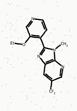 CCOc1cnccc1-c1nc2cc(C(F)(F)F)cnc2n1C